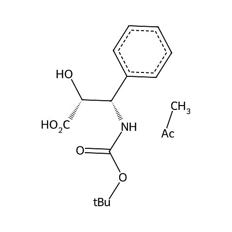 CC(C)(C)OC(=O)N[C@@H](c1ccccc1)[C@@H](O)C(=O)O.CC(C)=O